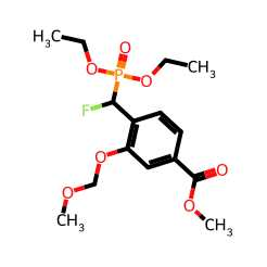 CCOP(=O)(OCC)C(F)c1ccc(C(=O)OC)cc1OCOC